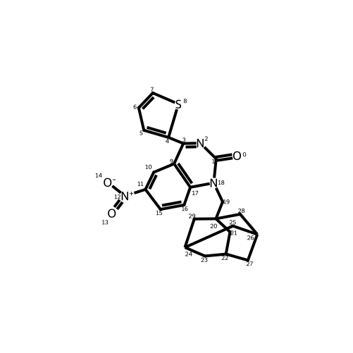 O=c1nc(-c2cccs2)c2cc([N+](=O)[O-])ccc2n1CC12CC3CC(CC(C3)C1)C2